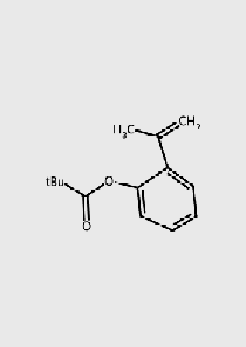 C=C(C)c1ccccc1OC(=O)C(C)(C)C